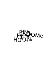 CO[C@H]1CNC[C@@H]1N(C)C.O=C(O)C(F)(F)F